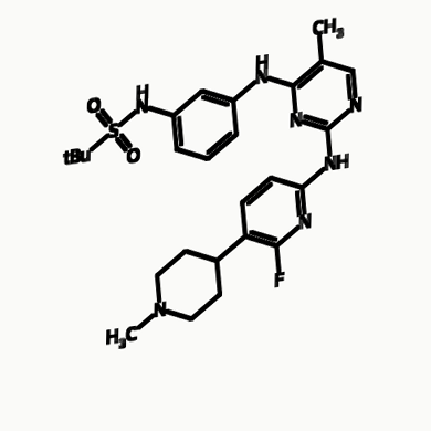 Cc1cnc(Nc2ccc(C3CCN(C)CC3)c(F)n2)nc1Nc1cccc(NS(=O)(=O)C(C)(C)C)c1